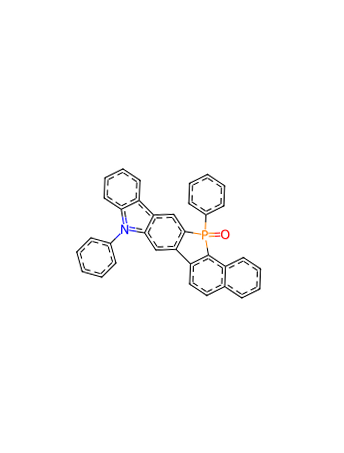 O=P1(c2ccccc2)c2cc3c4ccccc4n(-c4ccccc4)c3cc2-c2ccc3ccccc3c21